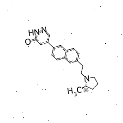 C[C@@H]1CCCN1CCc1ccc2cc(-c3cn[nH]c(=O)c3)ccc2c1